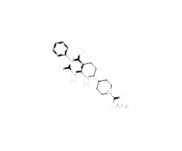 COC(=O)N1CCC([C@@H]2CCc3c([nH]c(=O)n(-c4ccccc4)c3=O)N2)CC1